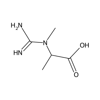 CC(C(=O)O)N(C)C(=N)N